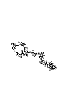 CO[C@H]1/C=C\C=C(/C)C(=O)NC2=CC(=O)C(NCCCNC(=O)CCCN3C(=O)CC(SC[C@H]4CCN5CC[C@H](CO[Si](c6ccccc6)(c6ccccc6)C(C)(C)C)N=C5N4)C3=O)=C(C[C@@H](C)C[C@H](OC)[C@H](O)[C@@H](C)/C=C(\C)[C@@H]1OC(C)=O)C2=O